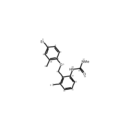 CCc1ccc(OCc2c(I)cccc2NC(=O)NC)c(C)c1